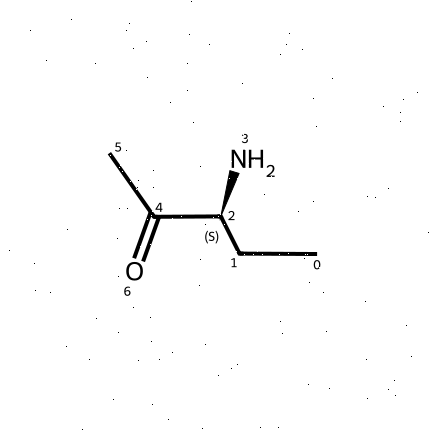 CC[C@H](N)C(C)=O